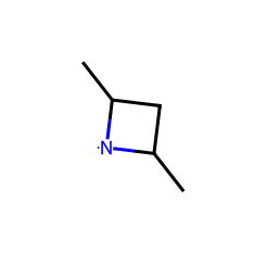 CC1CC(C)[N]1